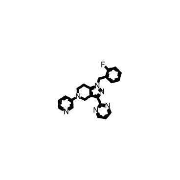 Fc1ccccc1Cn1nc(-c2ncccn2)c2c1CCN(c1cccnc1)C2